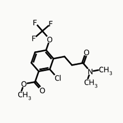 COC(=O)c1ccc(OC(F)(F)F)c(CCC(=O)N(C)C)c1Cl